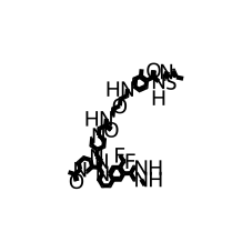 CNCC(C=N)c1cc2c(cc1C(F)F)N(C1=NN(C3CCN(CC(=O)NCCOCCNc4ccc(C(=O)Nc5ncc(C)s5)c(C)c4)CC3)C3CCN(C(C)=O)CC13)CCC2